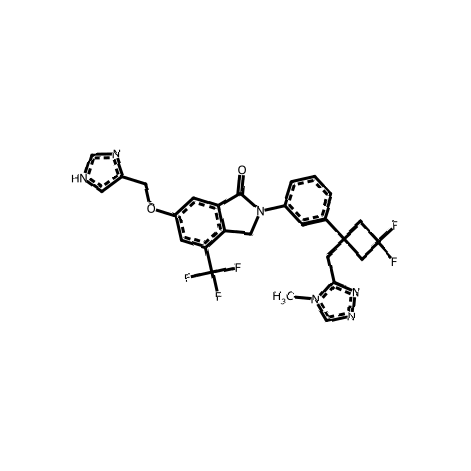 Cn1cnnc1CC1(c2cccc(N3Cc4c(cc(OCc5c[nH]cn5)cc4C(F)(F)F)C3=O)c2)CC(F)(F)C1